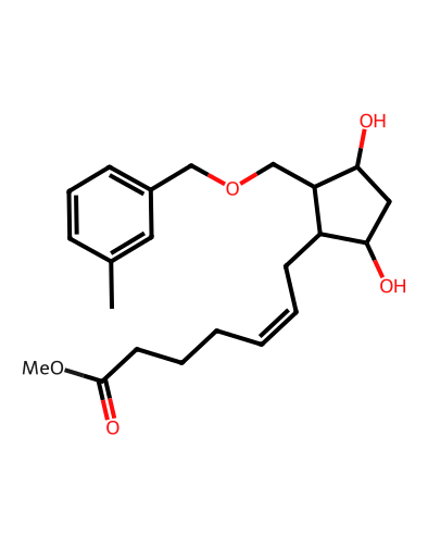 COC(=O)CCC/C=C\CC1C(O)CC(O)C1COCc1cccc(C)c1